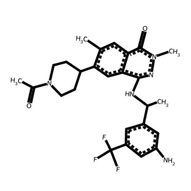 CC(=O)N1CCC(c2cc3c(NC(C)c4cc(N)cc(C(F)(F)F)c4)nn(C)c(=O)c3cc2C)CC1